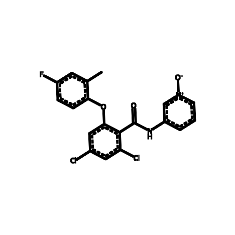 Cc1cc(F)ccc1Oc1cc(Cl)cc(Cl)c1C(=O)Nc1ccc[n+]([O-])c1